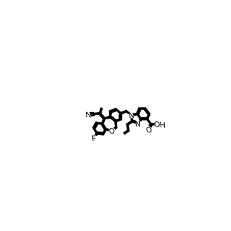 CCCc1nc2c(C(=O)O)cccc2n1Cc1ccc2c(c1)COc1cc(F)ccc1C2=C(C)C#N